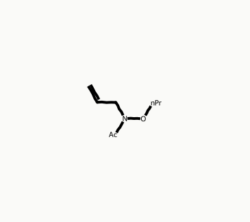 C=CCN(OCCC)C(C)=O